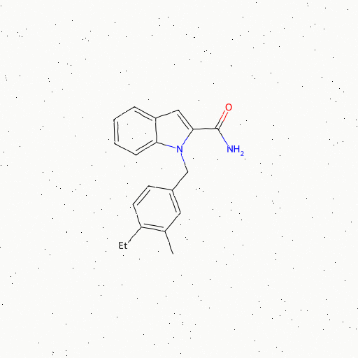 CCc1ccc(Cn2c(C(N)=O)cc3ccccc32)cc1C